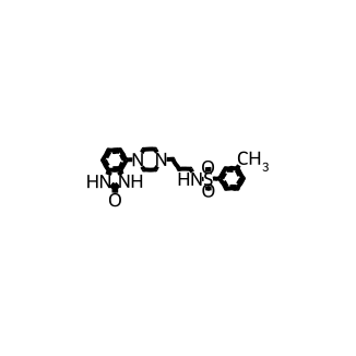 Cc1cccc(S(=O)(=O)NCCCN2CCN(c3cccc4[nH]c(=O)[nH]c34)CC2)c1